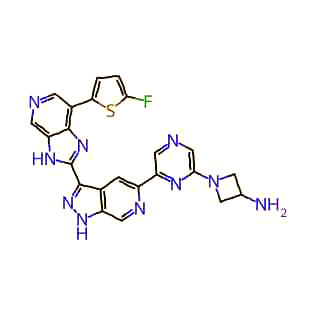 NC1CN(c2cncc(-c3cc4c(-c5nc6c(-c7ccc(F)s7)cncc6[nH]5)n[nH]c4cn3)n2)C1